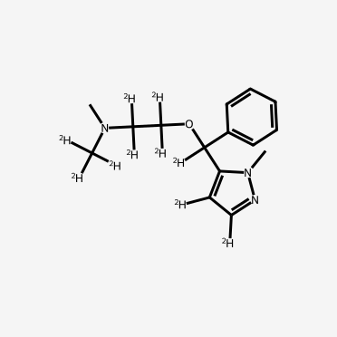 [2H]c1nn(C)c(C([2H])(OC([2H])([2H])C([2H])([2H])N(C)C([2H])([2H])[2H])c2ccccc2)c1[2H]